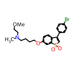 COCCN(C)CCCCOc1ccc2c(c1)S(=O)(=O)C=C2c1ccc(Br)cc1